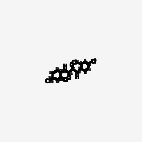 O=C(Nc1ccc(Cl)cc1Cl)C(=O)Nc1ccc(Cl)cc1Cl